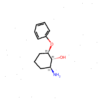 N[C@H]1CCC[C@@H](Oc2ccccc2)[C@@H]1O